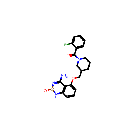 NC1=N[S+]([O-])Nc2cccc(OCC3CCCN(C(=O)c4ccccc4F)C3)c21